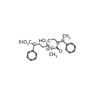 CCOC(=O)[C@@H](CCN[C@@H](C)C(=O)N(CC(=O)O)N(C)c1ccccc1)c1ccccc1